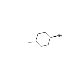 CCCC[C@H]1CC[C@H](C)CC1